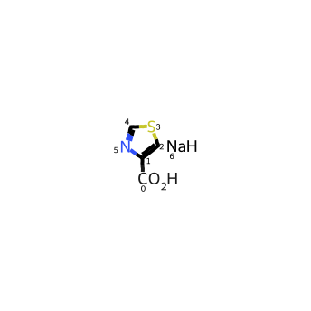 O=C(O)c1cscn1.[NaH]